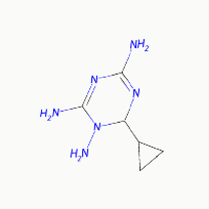 NC1=NC(C2CC2)N(N)C(N)=N1